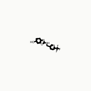 Oc1ccc2nc(NCc3ccc(C(F)(F)F)nc3)oc2c1